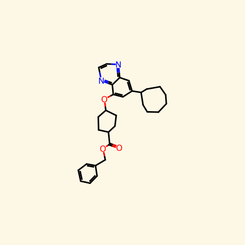 O=C(OCc1ccccc1)C1CCC(Oc2cc(C3CCCCCCC3)cc3nccnc23)CC1